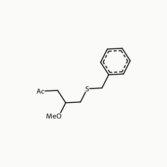 COC(CSCc1ccccc1)CC(C)=O